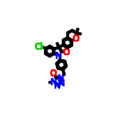 Cn1nnn(Cc2ccc(N3C(=O)C(C)(c4ccc5c(c4)CCC(C)(C)O5)c4cc(Cl)ccc43)cc2)c1=O